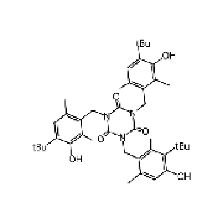 Cc1cc(C(C)(C)C)c(O)c(C)c1Cn1c(=O)n(Cc2c(C)cc(C(C)(C)C)c(O)c2C)c(=O)n(Cc2c(C)cc(O)c(C(C)(C)C)c2C)c1=O